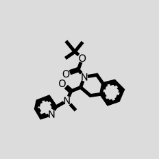 CN(C(=O)C1Cc2ccccc2CN1C(=O)OC(C)(C)C)c1ccccn1